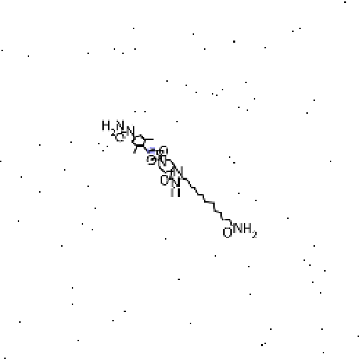 Cc1cc(N(C)C(N)=O)cc(C)c1/C=C/S(=O)(=O)N1CCC2(CC1)N=C(CCCCCCCCCCCC(N)=O)NC2=O